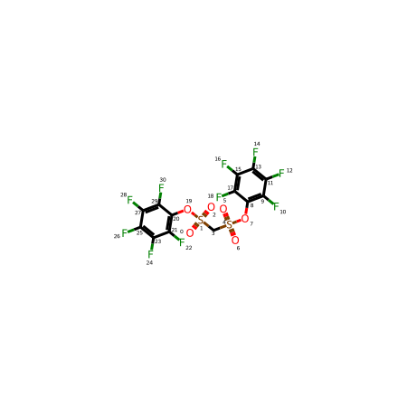 O=S(=O)(CS(=O)(=O)Oc1c(F)c(F)c(F)c(F)c1F)Oc1c(F)c(F)c(F)c(F)c1F